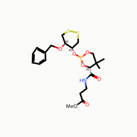 COC(=O)CCNC(=O)[C@@H]1OP(O[C@H]2CSSC[C@@H]2OCc2ccccc2)OCC1(C)C